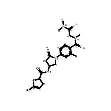 Cc1cc(N2CC(NC(=O)C3CC=C(Br)S3)CC2=O)ccc1C(=O)N(C)CC(=O)N(C)C